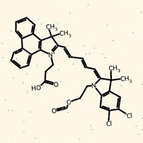 CC1(C)C(/C=C/C=C/C=C2\N(CCOC=O)c3cc(Cl)c(Cl)cc3C2(C)C)=[N+](CCC(=O)O)c2c1c1ccccc1c1ccccc21